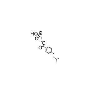 CC(C)CCc1ccc(C(=O)OCCS(=O)(=O)O)cc1